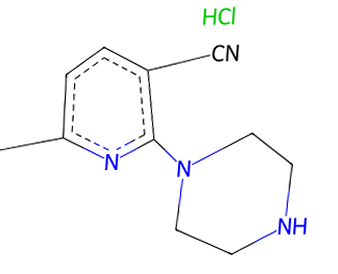 CCc1ccc(C#N)c(N2CCNCC2)n1.Cl